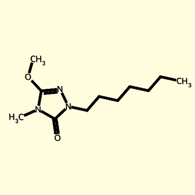 CCCCCCCn1nc(OC)n(C)c1=O